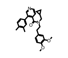 COc1ccc(CCN(CC2CC2)C(=O)c2ccncc2-c2ccc(C)c(C)c2)cc1OC